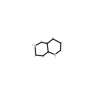 [CH]1CSC2CCSCC2C1